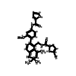 COc1cc(OC(=O)c2ccco2)ccc1-c1ccc2c(c1COC(=O)C1CC=C(Br)S1)C(C)=CC(C)(C)N2